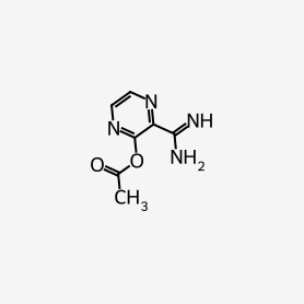 CC(=O)Oc1nccnc1C(=N)N